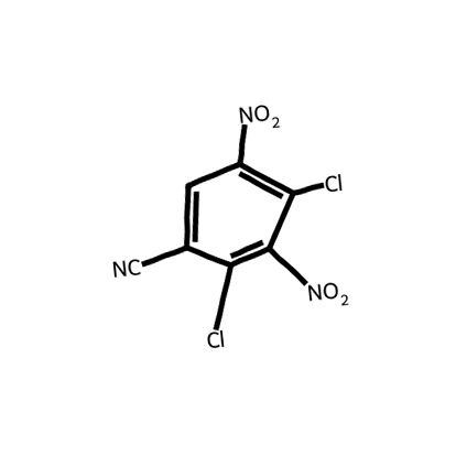 N#Cc1cc([N+](=O)[O-])c(Cl)c([N+](=O)[O-])c1Cl